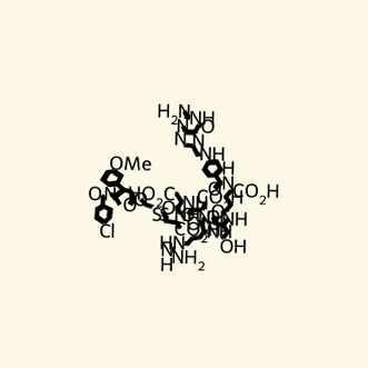 COc1ccc2c(c1)c(CC(=O)OCCSSCC(NC(=O)C(CC(=O)O)NC(=O)C(CC(=O)O)NC(=O)C(CCCNC(=N)N)NC(=O)C(CCO)NC(=O)CCC(NC(=O)c1ccc(NCc3cnc4nc(N)[nH]c(=O)c4n3)cc1)C(=O)O)C(=O)O)c(C)n2C(=O)c1ccc(Cl)cc1